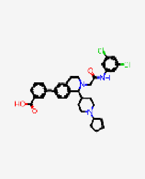 O=C(CN1CCc2cc(-c3cccc(C(=O)O)c3)ccc2C1C1CCN(C2CCCC2)CC1)Nc1cc(Cl)cc(Cl)c1